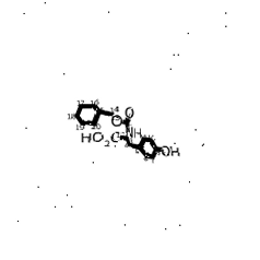 O=C(NC(Cc1ccc(O)cc1)C(=O)O)OCC1CCCCC1